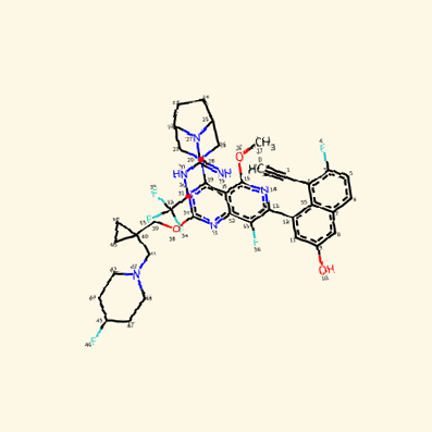 C#Cc1c(F)ccc2cc(O)cc(-c3nc(OC)c4c(N5CC6CCC(C5)N6C(=N)NCC(F)(F)F)nc(OCC5(CN6CCC(F)CC6)CC5)nc4c3F)c12